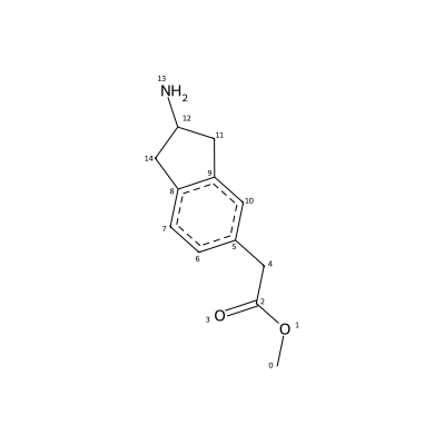 COC(=O)Cc1ccc2c(c1)CC(N)C2